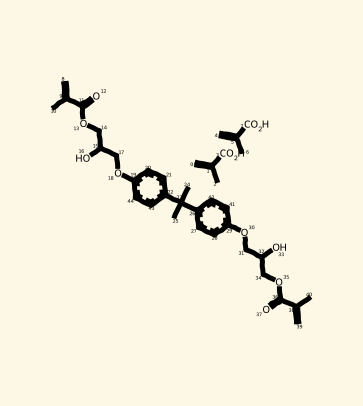 C=C(C)C(=O)O.C=C(C)C(=O)O.C=C(C)C(=O)OCC(O)COc1ccc(C(C)(C)c2ccc(OCC(O)COC(=O)C(=C)C)cc2)cc1